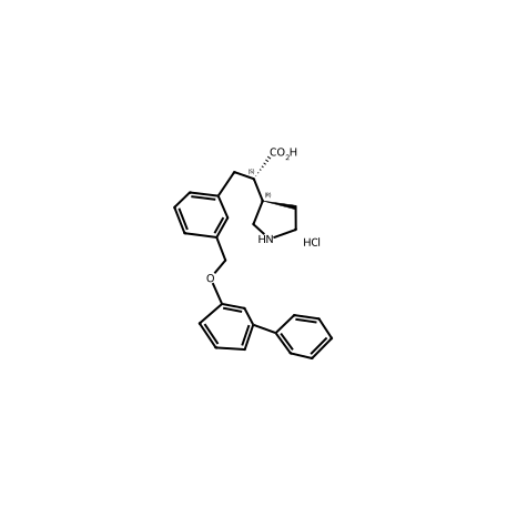 Cl.O=C(O)[C@@H](Cc1cccc(COc2cccc(-c3ccccc3)c2)c1)[C@H]1CCNC1